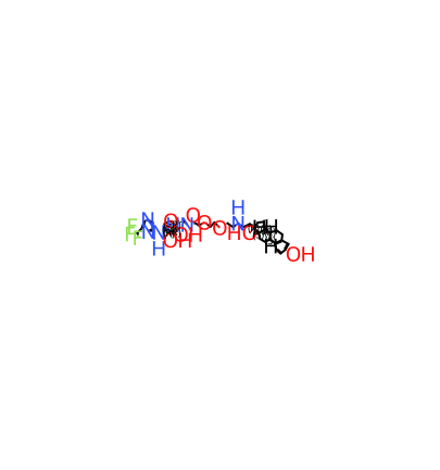 C[C@]12CC[C@@H]3c4ccc(O)cc4CC[C@H]3[C@@H]1CC[C@@]2(O)CCNCCOCCOCC(=O)NC[C@H]1OC[C@H](Nc2cncc(C(F)(F)F)n2)[C@@H](O)[C@H]1O